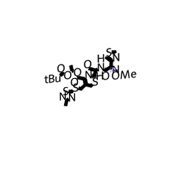 CO/N=C(\C(=O)NC1C(=O)N2C(C(=O)OC(C)OC(=O)C(C)(C)C)=C(CSc3nc(C)ns3)CS[C@H]12)c1cscn1